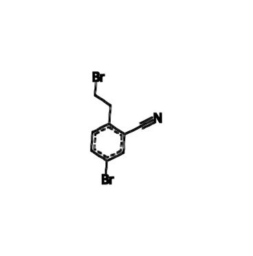 N#Cc1cc(Br)ccc1CCBr